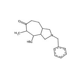 CCCCC1C(C)C(=O)CCC2CN(Cc3ccccc3)CC21